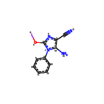 N#Cc1nc(OI)n(-c2ccccc2)c1N